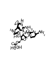 Nc1ccn([C@@H]2O[C@H](COP(=O)(O)O)[C@@H](O)[C@H]2O)c(=O)n1.Nc1nc2nc[nH]c2c(=O)[nH]1